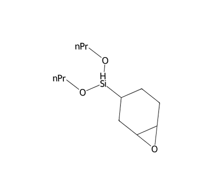 CCCO[SiH](OCCC)C1CCC2OC2C1